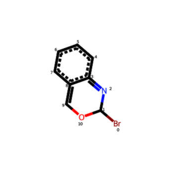 BrC1N=c2ccccc2=CO1